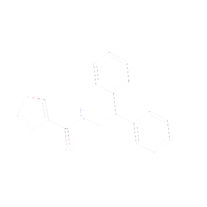 O=C(NCC(c1ccccc1)c1ccccc1)c1ccoc1